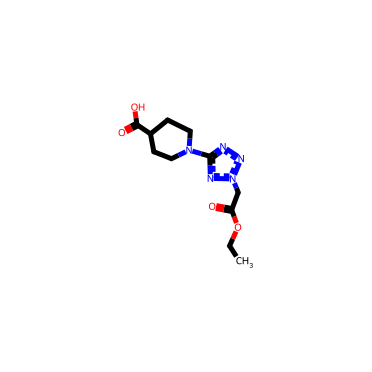 CCOC(=O)Cn1nnc(N2CCC(C(=O)O)CC2)n1